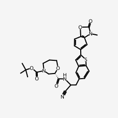 Cn1c(=O)oc2ccc(-c3cc4cc(CC(C#N)NC(=O)[C@@H]5CN(C(=O)OC(C)(C)C)CCCO5)ccc4s3)cc21